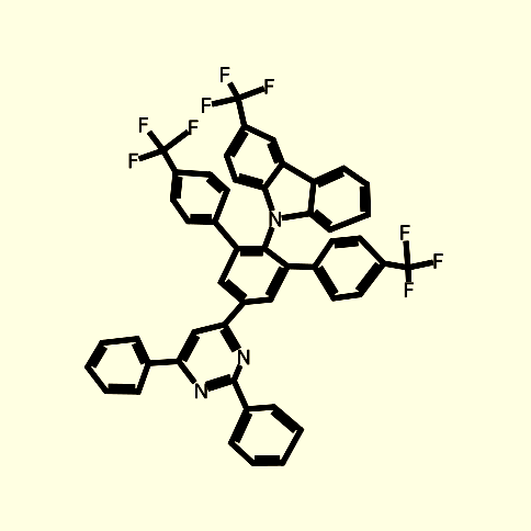 FC(F)(F)c1ccc(-c2cc(-c3cc(-c4ccccc4)nc(-c4ccccc4)n3)cc(-c3ccc(C(F)(F)F)cc3)c2-n2c3ccccc3c3cc(C(F)(F)F)ccc32)cc1